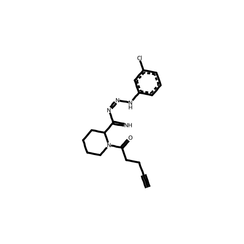 C#CCCC(=O)N1CCCCC1C(=N)/N=N\Nc1cccc(Cl)c1